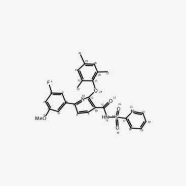 COc1cc(F)cc(-c2ccc(C(=O)NS(=O)(=O)c3ccccn3)c(Oc3c(C)cc(C)cc3C)n2)c1